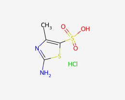 Cc1nc(N)sc1S(=O)(=O)O.Cl